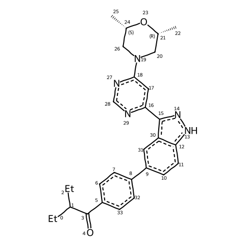 CCC(CC)C(=O)c1ccc(-c2ccc3[nH]nc(-c4cc(N5C[C@@H](C)O[C@@H](C)C5)ncn4)c3c2)cc1